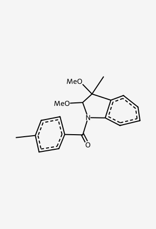 COC1N(C(=O)c2ccc(C)cc2)c2ccccc2C1(C)OC